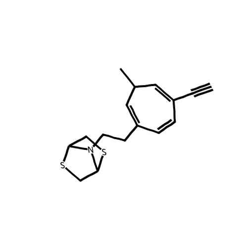 C#CC1=CC(C)C=C(CCN2C3CSC2CS3)C=C1